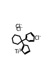 [Cl-].[Cl-].[Cl-].[Ti+3][C]1=C(C2(c3ccccc3)CCCCC2)CC=C1